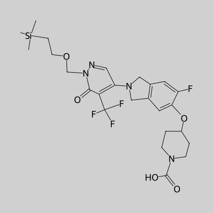 C[Si](C)(C)CCOCn1ncc(N2Cc3cc(F)c(OC4CCN(C(=O)O)CC4)cc3C2)c(C(F)(F)F)c1=O